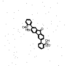 O=C1c2cc(-c3ccccc3[NH+]([O-])O)ccc2-c2cc(-c3ccccc3[NH+]([O-])O)ccc21